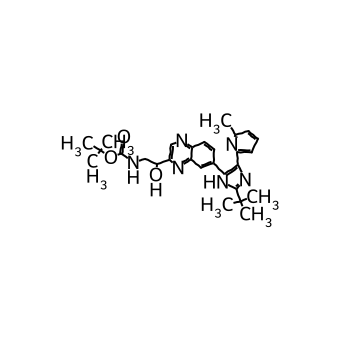 Cc1cccc(-c2nc(C(C)(C)C)[nH]c2-c2ccc3ncc(C(O)CNC(=O)OC(C)(C)C)nc3c2)n1